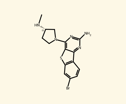 CN[C@H]1CCN(c2nc(N)nc3c2sc2cc(Br)ccc23)C1